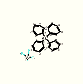 [F][Al-]([F])([F])[F].c1ccc([As+](c2ccccc2)(c2ccccc2)c2ccccc2)cc1